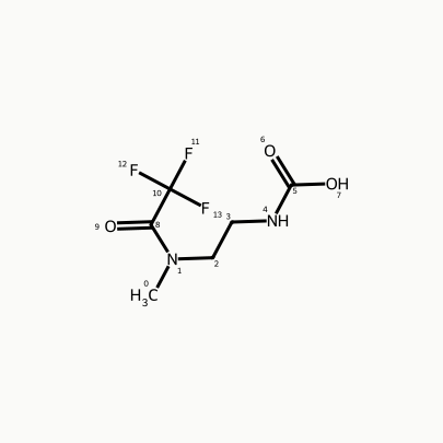 CN(CCNC(=O)O)C(=O)C(F)(F)F